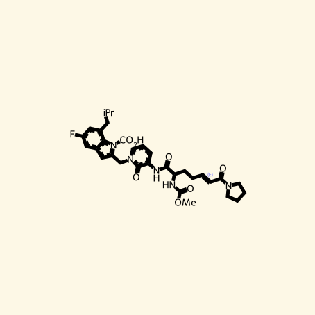 COC(=O)NC(CC/C=C/C(=O)N1CCCC1)C(=O)Nc1cccn(Cc2cc3cc(F)cc(CC(C)C)c3n2C(=O)O)c1=O